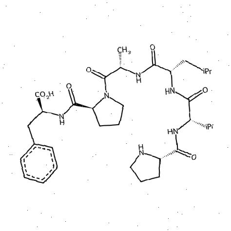 CC(C)C[C@H](NC(=O)[C@@H](NC(=O)[C@@H]1CCCN1)C(C)C)C(=O)N[C@@H](C)C(=O)N1CCC[C@H]1C(=O)N[C@@H](Cc1ccccc1)C(=O)O